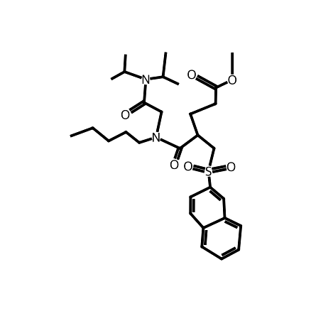 CCCCCN(CC(=O)N(C(C)C)C(C)C)C(=O)C(CCC(=O)OC)CS(=O)(=O)c1ccc2ccccc2c1